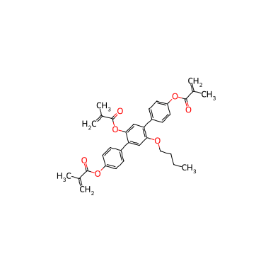 C=C(C)C(=O)Oc1ccc(-c2cc(OC(=O)C(=C)C)c(-c3ccc(OC(=O)C(=C)C)cc3)cc2OCCCC)cc1